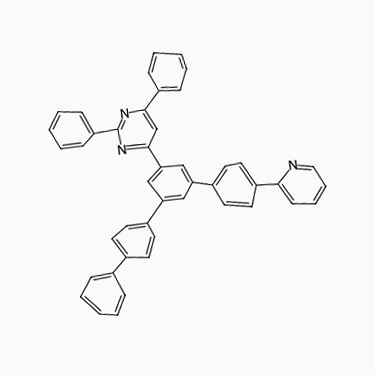 c1ccc(-c2ccc(-c3cc(-c4ccc(-c5ccccn5)cc4)cc(-c4cc(-c5ccccc5)nc(-c5ccccc5)n4)c3)cc2)cc1